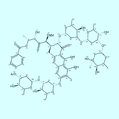 CO[C@H](C(=O)[C@@H](O)[C@@H](C)OC(=O)c1ccccc1)[C@@H]1Cc2cc3cc(O[C@H]4C[C@@H](O[C@H]5C[C@@H](OC(C)=O)[C@H](O)C(C)O5)[C@H](O)C(C)O4)c(C)c(O)c3c(O)c2C(=O)[C@H]1O[C@H]1CC(O[C@H]2C[C@@H](O[C@H]3C[C@](C)(O)[C@H](O)C(C)O3)[C@@H](O)C(C)O2)[C@H](O)C(C)O1